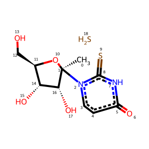 C[C@@]1(n2ccc(=O)[nH]c2=S)O[C@H](CO)[C@@H](O)[C@H]1O.S